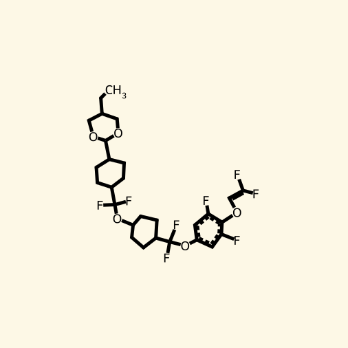 CCC1COC(C2CCC(C(F)(F)OC3CCC(C(F)(F)Oc4cc(F)c(OC=C(F)F)c(F)c4)CC3)CC2)OC1